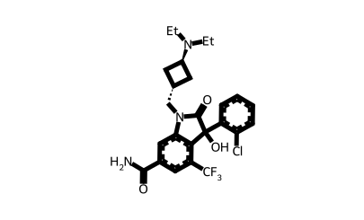 CCN(CC)[C@H]1C[C@H](CN2C(=O)C(O)(c3ccccc3Cl)c3c2cc(C(N)=O)cc3C(F)(F)F)C1